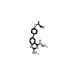 CC(C#N)Oc1ccc(-c2ccc3nc(N)nc(NN)c3c2)cc1